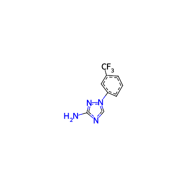 Nc1ncn(-c2cccc(C(F)(F)F)c2)n1